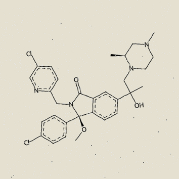 CO[C@]1(c2ccc(Cl)cc2)c2ccc(C(C)(O)CN3CCN(C)C[C@@H]3C)cc2C(=O)N1Cc1ccc(Cl)cn1